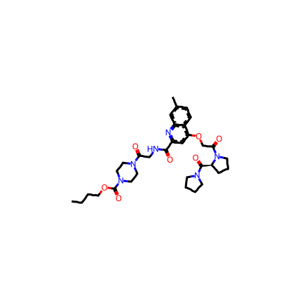 CCCCOC(=O)N1CCN(C(=O)CNC(=O)c2cc(OCC(=O)N3CCC[C@H]3C(=O)N3CCCC3)c3ccc(C)cc3n2)CC1